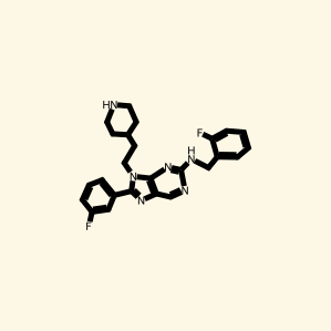 Fc1cccc(-c2nc3cnc(NCc4ccccc4F)nc3n2CCC2CCNCC2)c1